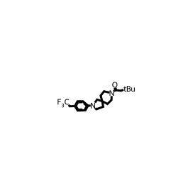 CC(C)(C)CC(=O)N1CCC2(CC1)CCN(c1ccc(CC(F)(F)F)cc1)C2